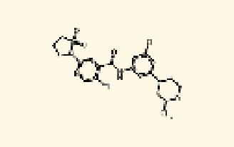 CC1CC(c2cc(Cl)cc(NC(=O)c3cc(N4CCCS4(=O)=O)ncc3Cl)c2)CCO1